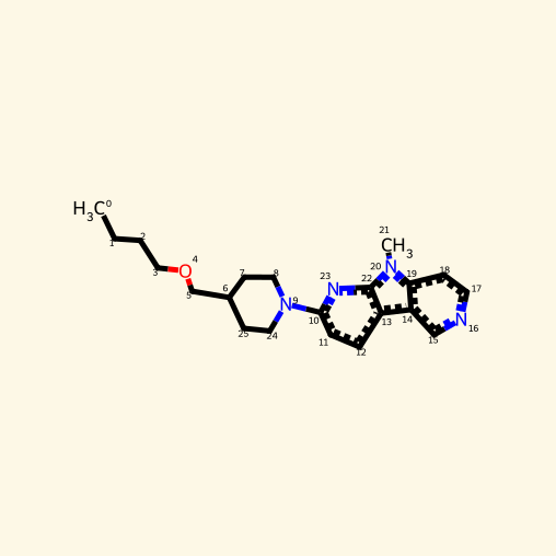 CCCCOCC1CCN(c2ccc3c4cnccc4n(C)c3n2)CC1